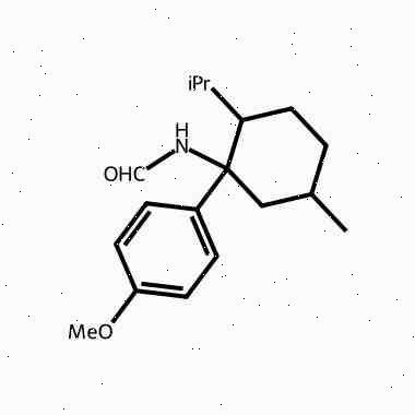 COc1ccc(C2(NC=O)CC(C)CCC2C(C)C)cc1